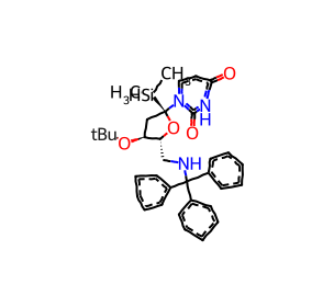 C[SiH](C)[C@]1(n2ccc(=O)[nH]c2=O)C[C@H](OC(C)(C)C)[C@@H](CNC(c2ccccc2)(c2ccccc2)c2ccccc2)O1